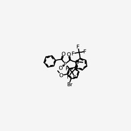 COc1ccc(Br)c(OC)c1P(=O)(C(=O)c1ccccc1)C(=O)c1c(C(F)(F)F)cccc1C(F)(F)F